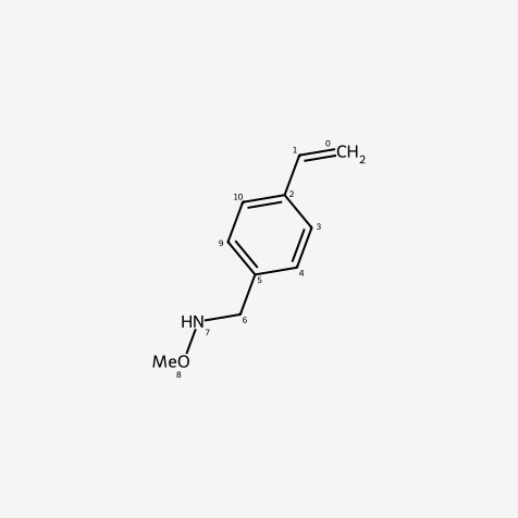 C=Cc1ccc(CNOC)cc1